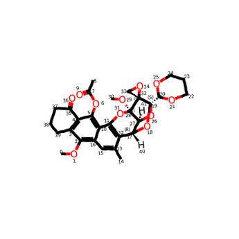 COc1c2c(c(OC(C)=O)c3c4c(c(C)cc13)[C@H]1O[C@]3(C5OCCCO5)O[C@@H]1[C@@](OC)(O4)[C@@]31CO1)C(=O)CCC2